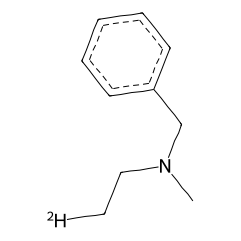 [2H]CCN(C)Cc1ccccc1